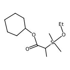 CCO[Si](C)(C)C(C)C(=O)OC1CCCCC1